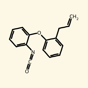 C=CCc1ccccc1Oc1ccccc1N=C=O